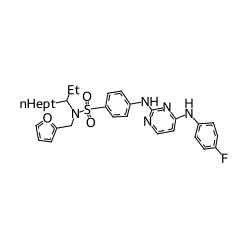 CCCCCCCC(CC)N(Cc1ccco1)S(=O)(=O)c1ccc(Nc2nccc(Nc3ccc(F)cc3)n2)cc1